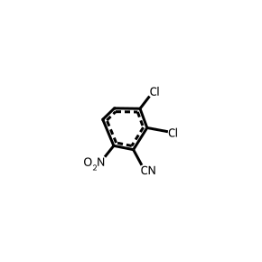 N#Cc1c([N+](=O)[O-])ccc(Cl)c1Cl